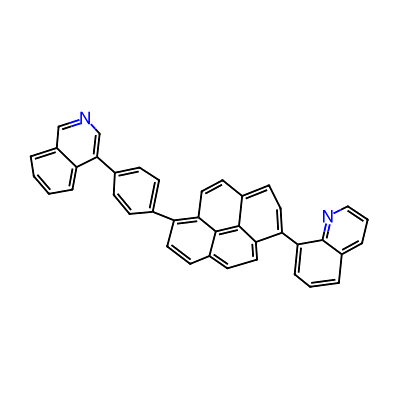 c1ccc2c(-c3ccc(-c4ccc5ccc6c(-c7cccc8cccnc78)ccc7ccc4c5c76)cc3)cncc2c1